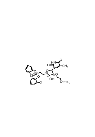 COCCO[C@H]1C(n2cc(C)c(=O)[nH]c2=O)O[C@H](CCP(=O)(Oc2ccccc2Cl)Oc2ccccc2Cl)[C@H]1O